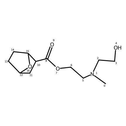 CN(CCO)CCOC(=O)C1CC2CCC1O2